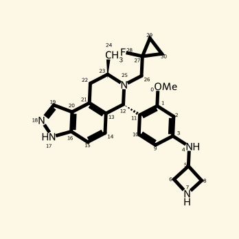 COc1cc(NC2CNC2)ccc1[C@@H]1c2ccc3[nH]ncc3c2C[C@@H](C)N1CC1(F)CC1